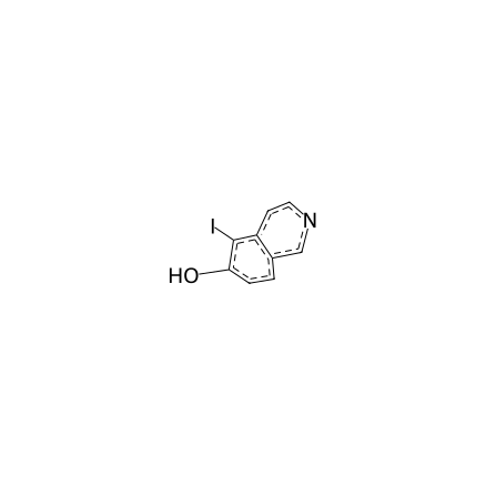 Oc1ccc2cnccc2c1I